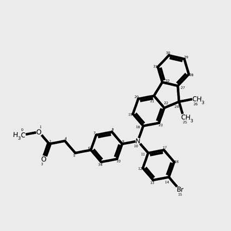 COC(=O)CCc1ccc(N(c2ccc(Br)cc2)c2ccc3c(c2)C(C)(C)c2ccccc2-3)cc1